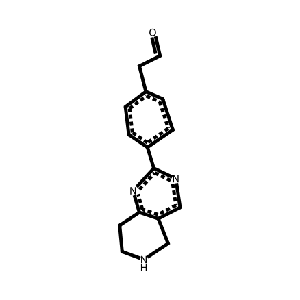 O=CCc1ccc(-c2ncc3c(n2)CCNC3)cc1